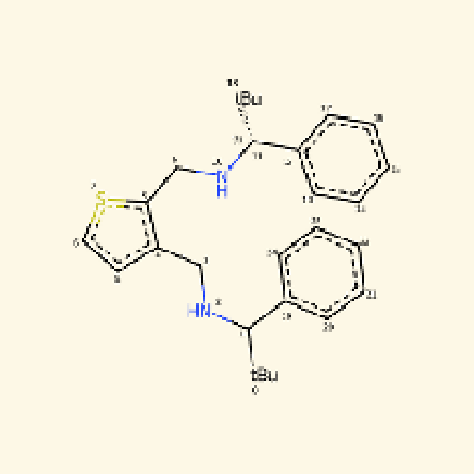 CC(C)(C)C(NCc1ccsc1CN[C@@H](c1ccccc1)C(C)(C)C)c1ccccc1